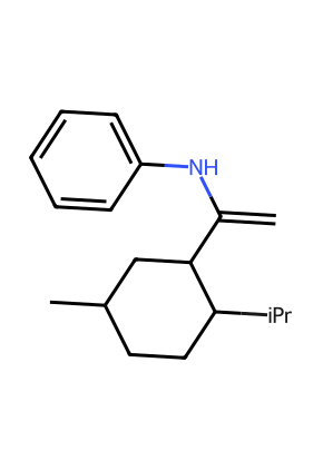 C=C(Nc1ccccc1)C1CC(C)CCC1C(C)C